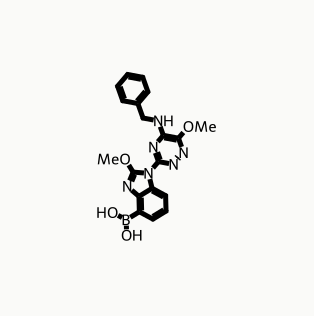 COc1nnc(-n2c(OC)nc3c(B(O)O)cccc32)nc1NCc1ccccc1